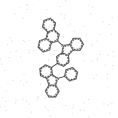 c1ccc(-n2c3ccccc3c3cccc(-c4ccc5c6ccccc6n(-c6cc7ccccc7c7ccccc67)c5c4)c32)cc1